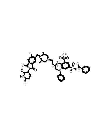 CC1CN(CC[C@H](CSc2ccccc2)Nc2ccc(S(=O)(=O)NC(=O)c3ccccc3)cc2S(=O)(=O)C(F)(F)F)CC(C)N1Cc1cc2c(cc1F)C(=O)N(C1CCC(=O)NC1=O)C2=O